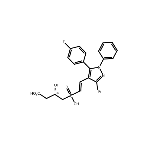 CC(C)c1nn(-c2ccccc2)c(-c2ccc(F)cc2)c1C=CP(=O)(O)C[C@@H](O)CC(=O)O